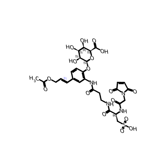 CC(=O)OC/C=C/c1ccc(O[C@@H]2O[C@H](C(=O)O)[C@H](O)[C@H](O)[C@@H]2O)c(NC(=O)CCNC(=O)[C@H](CS(=O)(=O)O)NC(=O)CN2C(=O)C=CC2=O)c1